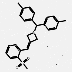 Cc1ccc(C(c2ccc(C)cc2)N2CC(=Cc3ccccc3S(C)(=O)=O)C2)cc1